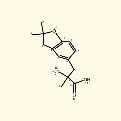 CC1(C)Cc2cc(CC(C)(N)C(=O)O)ccc2O1